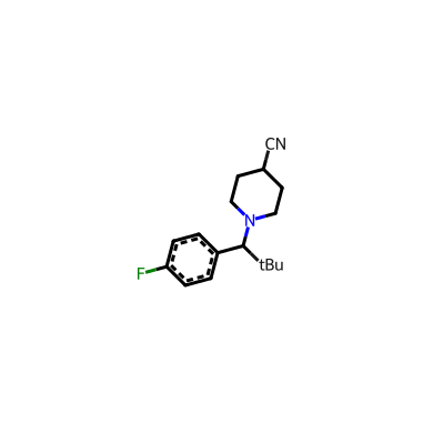 CC(C)(C)C(c1ccc(F)cc1)N1CCC(C#N)CC1